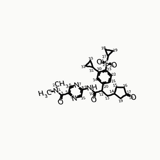 CN(C)C(=O)c1cnc(NC(=O)C(CC2CCC(=O)C2)c2ccc(S(=O)(=O)C3CC3)c(C3CC3)c2)cn1